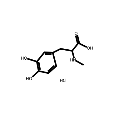 CNC(Cc1ccc(O)c(O)c1)C(=O)O.Cl